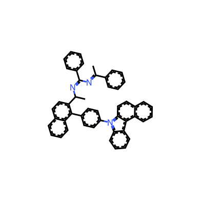 C/C(=N\C(=N/C(C)c1ccc2ccccc2c1-c1ccc(-n2c3ccccc3c3c4ccccc4ccc32)cc1)c1ccccc1)c1ccccc1